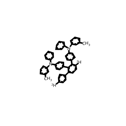 [2H]c1ccc(-c2ccc([2H])c(-c3ccc(N(c4ccccc4)c4cccc(C)c4)cc3)c2-c2ccc(N(c3ccccc3)c3cccc(C)c3)cc2)cc1